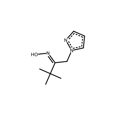 CC(C)(C)C(Cn1cccn1)=NO